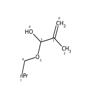 C=C(C)C(O)OCCCC